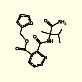 CC(C)C(C)(NC(=O)c1ncccc1C(=O)OCc1ccco1)C(N)=O